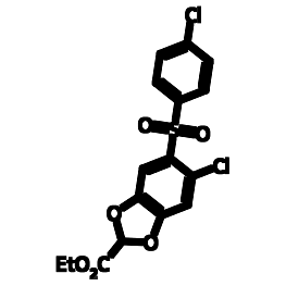 CCOC(=O)C1Oc2cc(Cl)c(S(=O)(=O)c3ccc(Cl)cc3)cc2O1